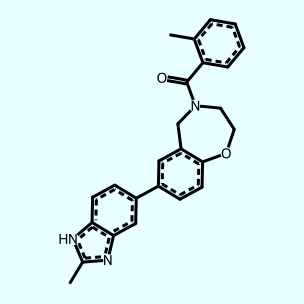 Cc1nc2cc(-c3ccc4c(c3)CN(C(=O)c3ccccc3C)CCO4)ccc2[nH]1